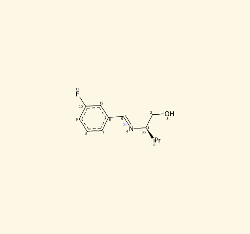 CC(C)[C@H](CO)/N=C/c1cccc(F)c1